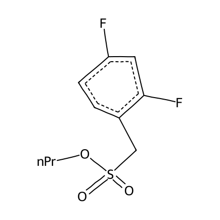 CCCOS(=O)(=O)Cc1ccc(F)cc1F